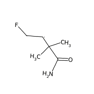 CC(C)([CH]CF)C(N)=O